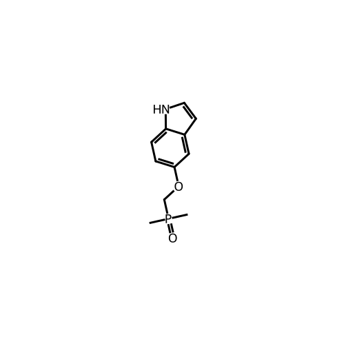 CP(C)(=O)COc1ccc2[nH]ccc2c1